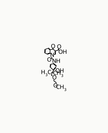 COCCOCC(C)(C)c1ccc(NC(=O)n2cc(C(=O)O)c(=O)c3ccccc32)cc1O